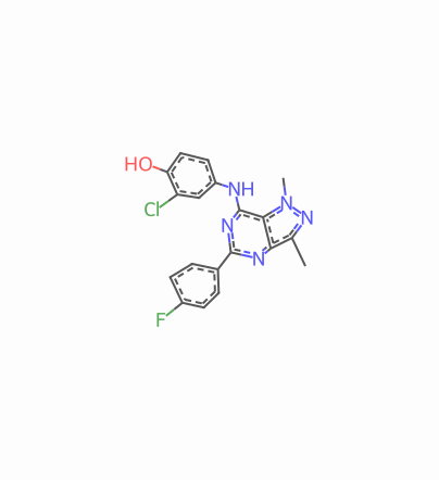 Cc1nn(C)c2c(Nc3ccc(O)c(Cl)c3)nc(-c3ccc(F)cc3)nc12